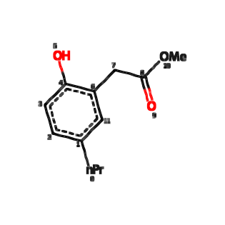 CCCc1ccc(O)c(CC(=O)OC)c1